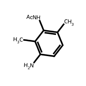 CC(=O)Nc1c(C)ccc(N)c1C